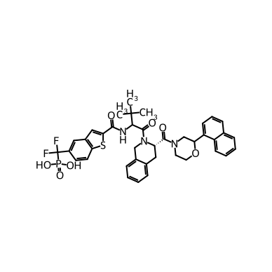 CC(C)(C)C(NC(=O)c1cc2cc(C(F)(F)P(=O)(O)O)ccc2s1)C(=O)N1Cc2ccccc2C[C@H]1C(=O)N1CCOC(c2cccc3ccccc23)C1